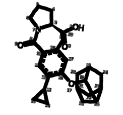 O=C(O)[C@@H]1CCCN1C(=O)c1cc(C2CC2)c(OC2C3CC4CC(C3)C2C4)cc1F